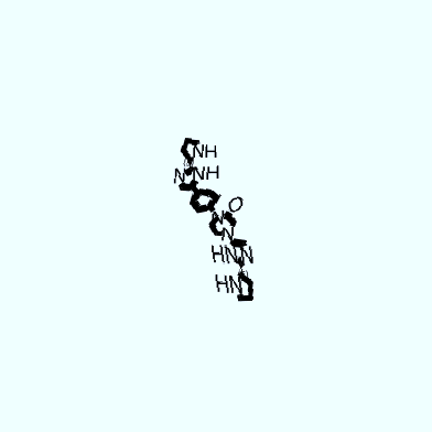 O=C1CN(c2cnc([C@@H]3CCCN3)[nH]2)CCN1c1ccc(-c2cnc([C@@H]3CCCN3)[nH]2)cc1